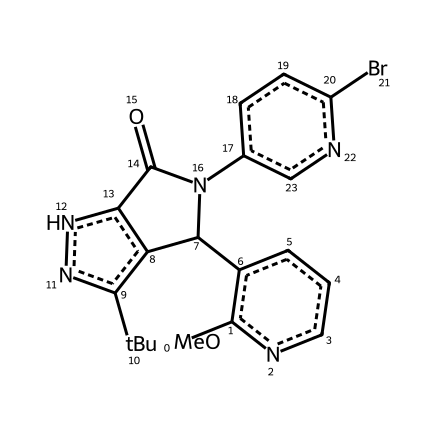 COc1ncccc1C1c2c(C(C)(C)C)n[nH]c2C(=O)N1c1ccc(Br)nc1